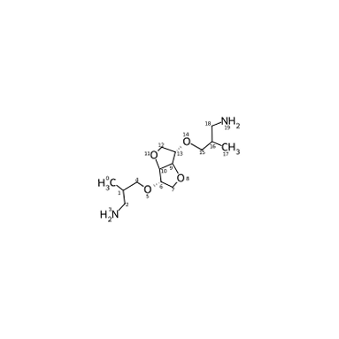 CC(CN)CO[C@H]1COC2C1OC[C@@H]2OCC(C)CN